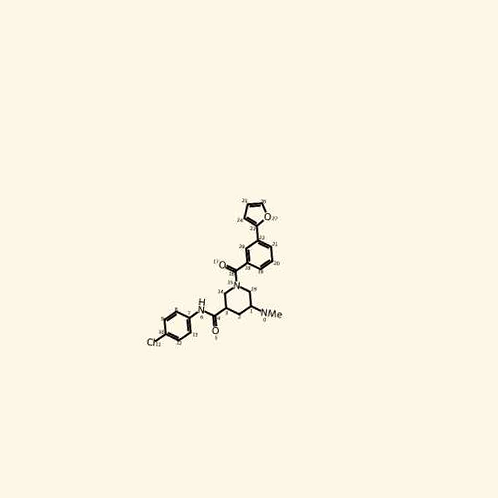 CNC1CC(C(=O)Nc2ccc(Cl)cc2)CN(C(=O)c2cccc(-c3ccco3)c2)C1